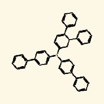 C1=C(c2ccccc2)C(c2ccccc2)CC(N(c2ccc(-c3ccccc3)cc2)c2ccc(-c3ccccc3)cc2)=C1